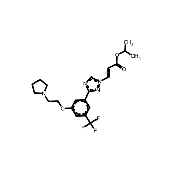 CC(C)OC(=O)/C=C/n1cnc(-c2cc(OCCN3CCCC3)cc(C(F)(F)F)c2)n1